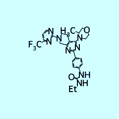 CCNC(=O)Nc1ccc(-c2nc3c(c(N4CCOCC4C)n2)CCN(c2nccc(C(F)(F)F)n2)C3)cc1